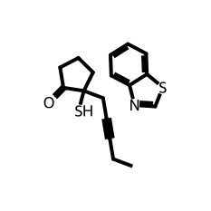 CCC#CCC1(S)CCCC1=O.c1ccc2scnc2c1